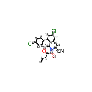 C=CC[C@H]1O[C@H](c2cccc(Cl)c2)[C@H](c2ccc(Cl)cc2)N([C@H](C)C#N)C1=O